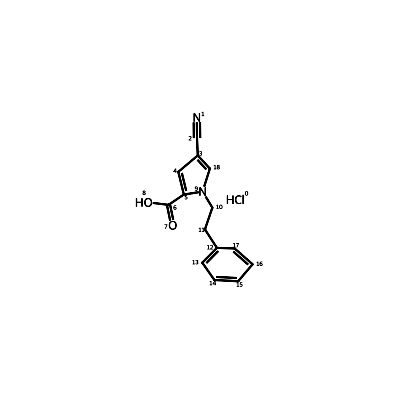 Cl.N#Cc1cc(C(=O)O)n(CCc2ccccc2)c1